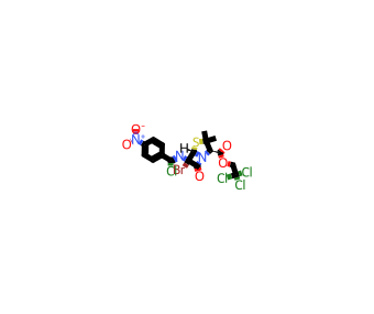 CC1(C)S[C@H]2N(C(=O)C2(Br)/N=C(\Cl)c2ccc([N+](=O)[O-])cc2)[C@H]1C(=O)OCC(Cl)(Cl)Cl